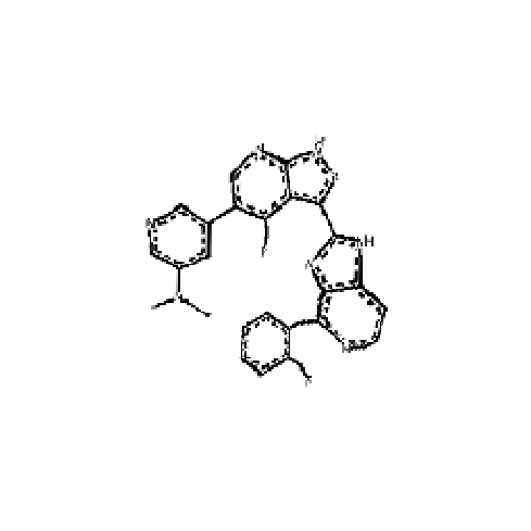 CN(C)c1cncc(-c2cnc3[nH]nc(-c4nc5c(-c6ccccc6F)nccc5[nH]4)c3c2F)c1